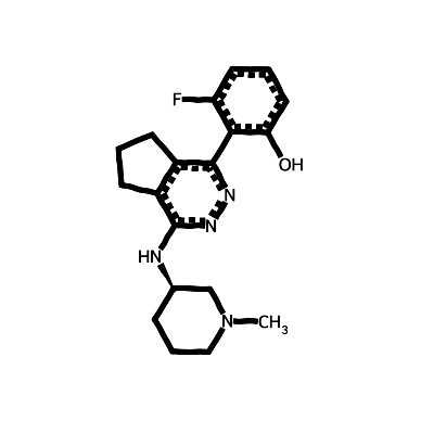 CN1CCC[C@@H](Nc2nnc(-c3c(O)cccc3F)c3c2CCC3)C1